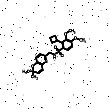 COc1ccc(S(=O)(=O)NCc2ccc3c(n2)C=CC(C)(C)O3)c(C2CCC2)c1OC